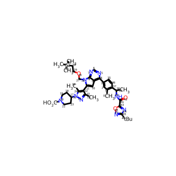 Cc1cc(-c2ncnc3c2cc(-c2c(C)nn(C4CCN(C(=O)O)CC4)c2C)n3COCC[Si](C)(C)C)ccc1C(C)NC(=O)c1nc(C(C)(C)C)no1